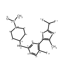 Cc1nc(C(F)F)sc1-c1nc(NC2CCN([S+](C)[O-])CC2)ncc1F